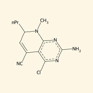 CCCC1C=C(C#N)c2c(Cl)nc(N)nc2N1C